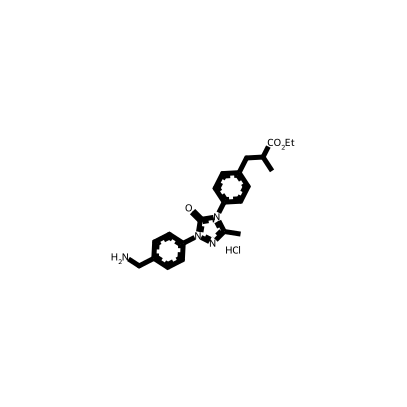 CCOC(=O)C(C)Cc1ccc(-n2c(C)nn(-c3ccc(CN)cc3)c2=O)cc1.Cl